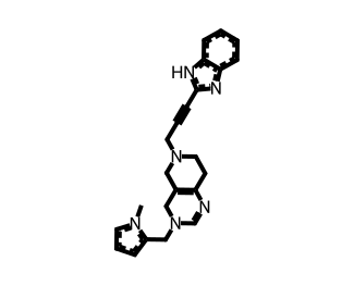 Cn1cccc1CN1C=NC2=C(C1)CN(CC#Cc1nc3ccccc3[nH]1)CC2